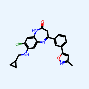 Cc1cc(-c2cccc(C3=Nc4cc(NCC5CC5)c(Cl)cc4NC(=O)C3)c2)on1